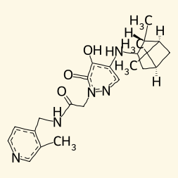 Cc1cnccc1CNC(=O)Cn1ncc(NC2C[C@@H]3C[C@H]([C@H]2C)C3(C)C)c(O)c1=O